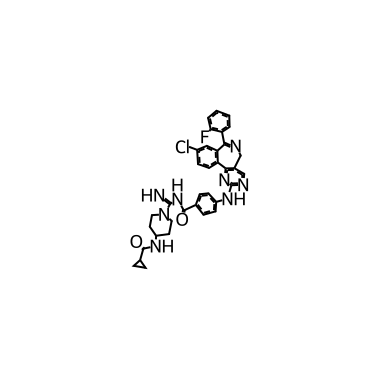 N=C(NC(=O)c1ccc(Nc2ncc3c(n2)-c2ccc(Cl)cc2C(c2ccccc2F)=NC3)cc1)N1CCC(NC(=O)C2CC2)CC1